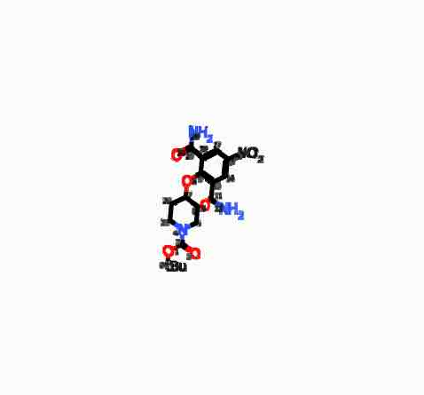 CC(C)(C)OC(=O)N1CCC(Oc2c(C(N)=O)cc([N+](=O)[O-])cc2C(N)=O)CC1